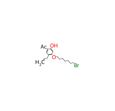 C=CCc1cc(C(C)=O)c(O)cc1OCCCCCCCBr